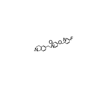 CN1CCc2cc(CCn3ccc(OCc4ccc(F)cn4)cc3=O)ccc2C1